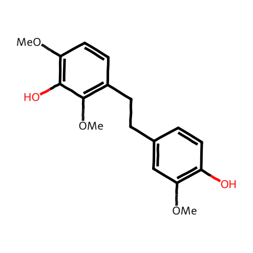 COc1cc(CCc2ccc(OC)c(O)c2OC)ccc1O